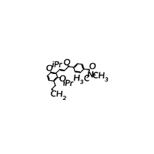 C=CCc1ccc(OC(C)C)c(C=CC(=O)c2ccc(C(=O)N(C)C)cc2)c1OC(C)C